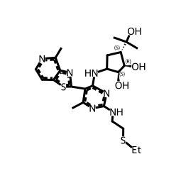 CCSCCNc1nc(C)c(-c2nc3c(C)nccc3s2)c(NC2C[C@H](C(C)(C)O)[C@@H](O)[C@H]2O)n1